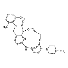 Cc1cccc(C)c1N1Cc2cnc3nc2N(C/C=C/COc2cc(ccc2N2CCN(C)CC2)N3)C1=O